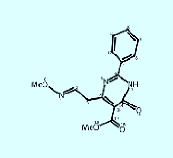 CON=CCc1nc(-c2ccccc2)[nH]c(=O)c1C(=O)OC